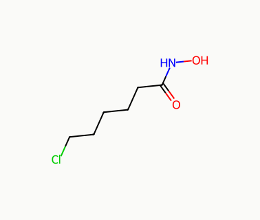 O=C(CCCCCCl)NO